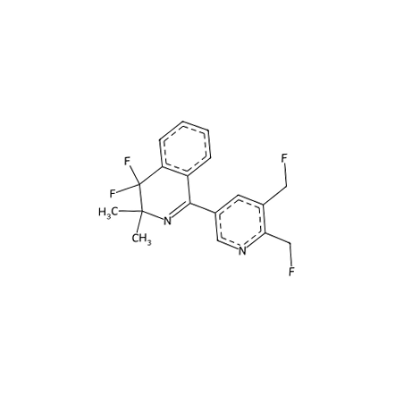 CC1(C)N=C(c2cnc(CF)c(CF)c2)c2ccccc2C1(F)F